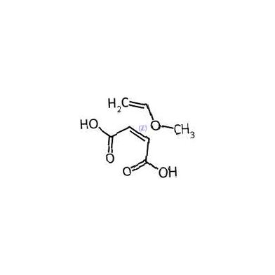 C=COC.O=C(O)/C=C\C(=O)O